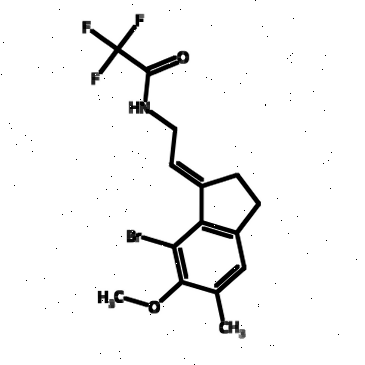 COc1c(C)cc2c(c1Br)C(=CCNC(=O)C(F)(F)F)CC2